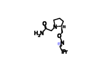 CC(C)/C=N/OC[C@@H]1CCCN1CC(N)=O